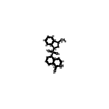 CC1CN(S(=O)(=O)c2cccc3c(=O)[nH]ccc23)c2ccccc21